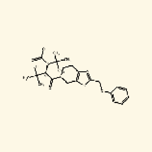 CC(C)(C)[C@H](C(=O)N1CCc2nc(COc3ccccc3)oc2C1)N(C(=O)O)C(C)(C)C